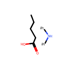 CC(C)NC(C)C.CCCCC(=O)O